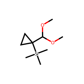 COC(OC)C1([Si](C)(C)C)CC1